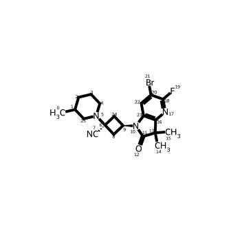 CC1CCCN([C@]2(C#N)C[C@H](N3C(=O)C(C)(C)c4nc(F)c(Br)cc43)C2)C1